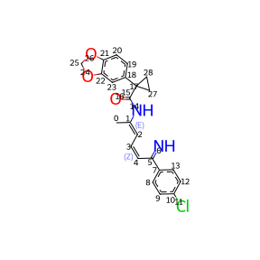 C/C(=C\C=C/C(=N)c1ccc(Cl)cc1)NC(=O)C1(c2ccc3c(c2)OCO3)CC1